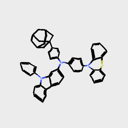 c1ccc(-n2c3ccccc3c3ccc(N(c4ccc(N5c6ccccc6Sc6ccccc65)cc4)c4ccc(C56CC7CC(CC(C7)C5)C6)cc4)cc32)cc1